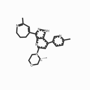 CC1=NCCCC(c2n[nH]c3c(-c4ccc(C)nc4)cc(N4CCOC[C@H]4C)nc23)=C1